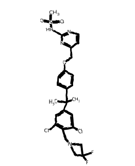 CC(C)(c1ccc(OCc2ccnc(NS(C)(=O)=O)n2)cc1)c1cc(Cl)c(CN2CC(F)(F)C2)c(Cl)c1